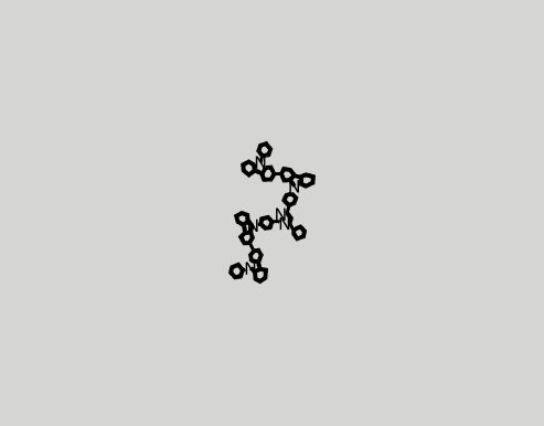 c1ccc(-c2cc(-c3ccc(-n4c5ccccc5c5ccc(-c6ccc7c8ccccc8n(-c8ccccc8)c7c6)cc54)cc3)nc(-c3ccc(-n4c5ccccc5c5ccc(-c6ccc7c8ccccc8n(-c8ccccc8)c7c6)cc54)cc3)n2)cc1